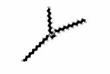 CCCCCCCCCCCCCCCN1C=CN(CCCCCCCCCCCCCC)C1CCCCCCCCCC